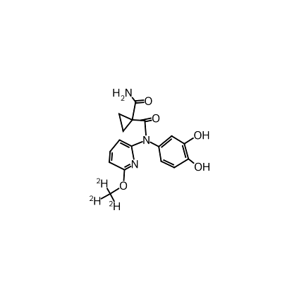 [2H]C([2H])([2H])Oc1cccc(N(C(=O)C2(C(N)=O)CC2)c2ccc(O)c(O)c2)n1